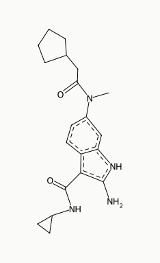 CN(C(=O)CC1CCCC1)c1ccc2c(C(=O)NC3CC3)c(N)[nH]c2c1